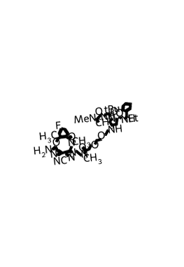 CC[C@@H](NC(=O)[C@@H]1C[C@H](NCCOCCOCCC(=O)N(C)CCn2nc(C#N)c3c2CN(C)C(=O)c2ccc(F)cc2[C@@H](C)Oc2cc-3cnc2N)CN1C(=O)C(NC(=O)[C@H](C)NC)C(C)(C)C)c1ccccc1